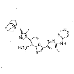 Cc1cc(-c2cnc3c(C(=O)O)c(-c4cnn(CC56CC7CC(CC(C7)C5)C6)c4C)ccn23)nnc1Nc1ccncn1